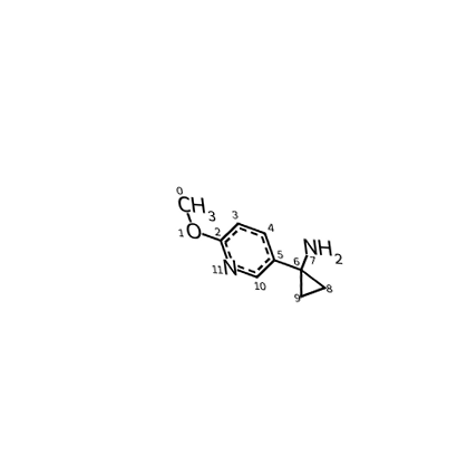 COc1ccc(C2(N)CC2)cn1